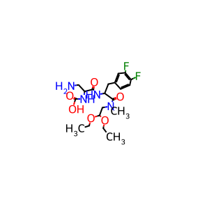 CCOC(CN(C)C(=O)C(Cc1ccc(F)c(F)c1)NC(=O)C(CN)NC(=O)O)OCC